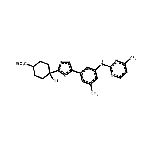 CCOC(=O)C1CCC(O)(c2ncc(-c3cc(C)cc(Nc4nccc(C(F)(F)F)n4)c3)s2)CC1